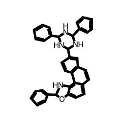 c1ccc(C2NC(c3ccccc3)NC(c3ccc4c(ccc5ccc6c(c54)NC(c4ccccc4)O6)c3)N2)cc1